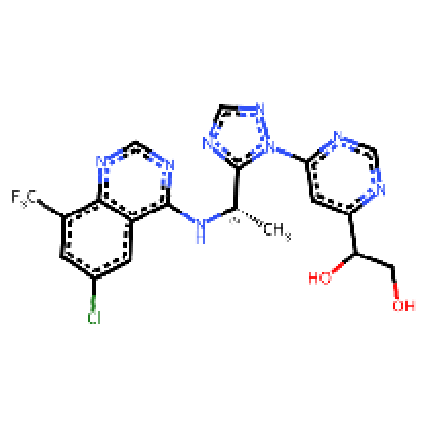 C[C@H](Nc1ncnc2c(C(F)(F)F)cc(Cl)cc12)c1ncnn1-c1cc(C(O)CO)ncn1